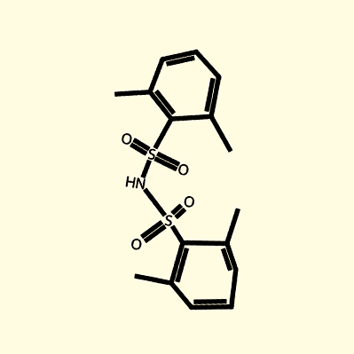 Cc1cccc(C)c1S(=O)(=O)NS(=O)(=O)c1c(C)cccc1C